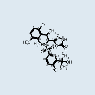 Cc1ccc(F)c(C(C)C(NS(=O)(=O)c2ccc(Cl)c(C(C)(C)O)n2)c2n[nH]c(=O)o2)c1C